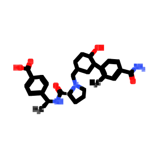 Cc1cc(C(N)=O)ccc1C1CC(CN2CCC[C@@H]2C(=O)N[C@@H](C)c2ccc(C(=O)O)cc2)CCC1O